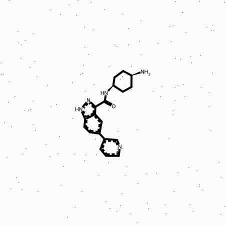 N[C@H]1CC[C@@H](NC(=O)c2n[nH]c3ccc(-c4cccnc4)cc23)CC1